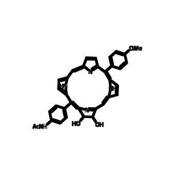 COc1ccc(-c2c3nc(cc4ccc([nH]4)c(-c4ccc(NC(C)=O)cc4)c4nc(cc5ccc2[nH]5)C(O)C4O)C=C3)cc1